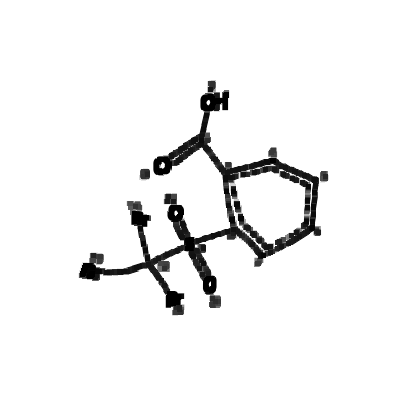 O=C(O)c1ccccc1S(=O)(=O)C(Br)(Br)Br